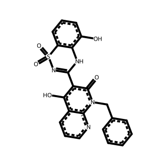 O=c1c(C2=NS(=O)(=O)c3cccc(O)c3N2)c(O)c2cccnc2n1Cc1ccccc1